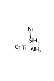 [AlH3].[Cr].[SiH3][Ni].[Ti]